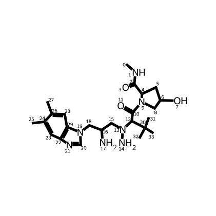 CNC(=O)C1CC(O)CN1C(=O)C(N(N)CC(N)Cn1cnc2cc(C)c(C)cc21)C(C)(C)C